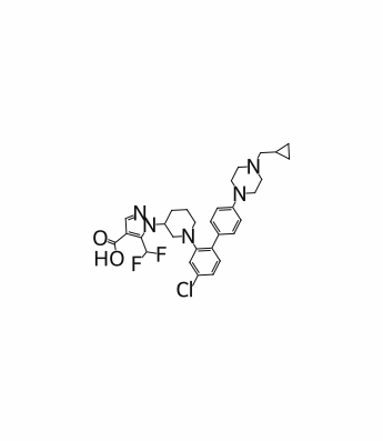 O=C(O)c1cnn(C2CCCN(c3cc(Cl)ccc3-c3ccc(N4CCN(CC5CC5)CC4)cc3)C2)c1C(F)F